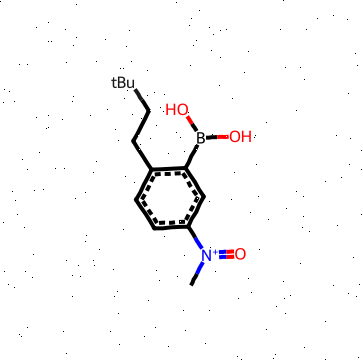 C[N+](=O)c1ccc(CCC(C)(C)C)c(B(O)O)c1